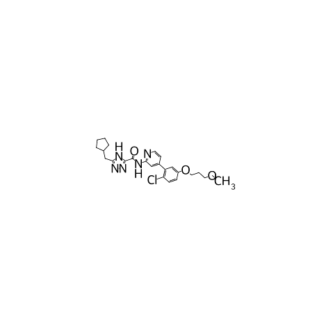 COCCCOc1ccc(Cl)c(-c2ccnc(NC(=O)c3nnc(CC4CCCC4)[nH]3)c2)c1